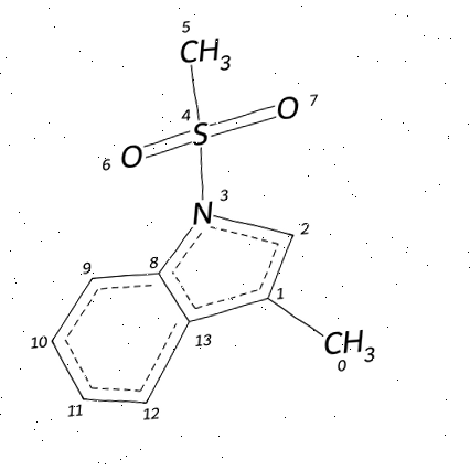 Cc1cn(S(C)(=O)=O)c2ccccc12